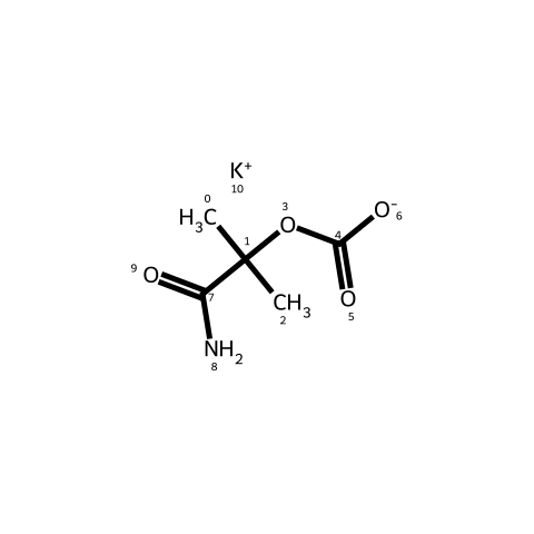 CC(C)(OC(=O)[O-])C(N)=O.[K+]